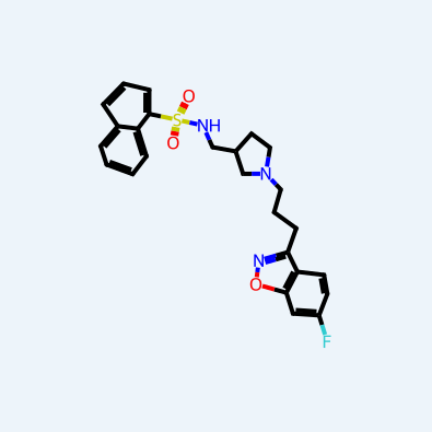 O=S(=O)(NCC1CCN(CCCc2noc3cc(F)ccc23)C1)c1cccc2ccccc12